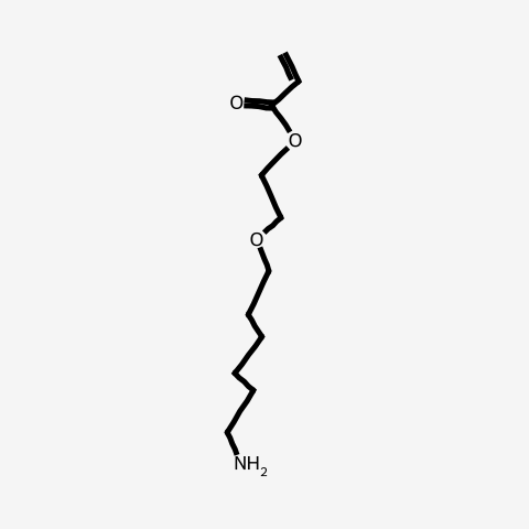 C=CC(=O)OCCOCCCCCCN